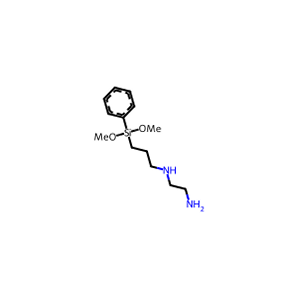 CO[Si](CCCNCCN)(OC)c1ccccc1